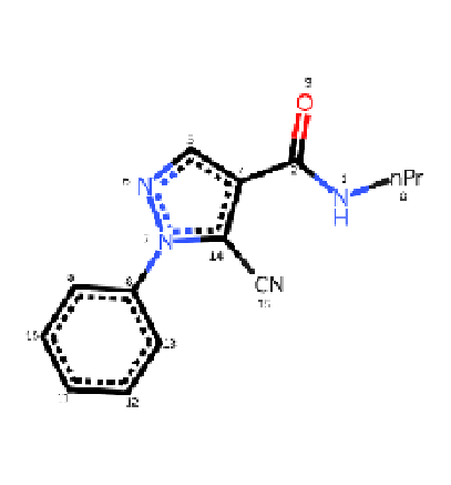 CCCNC(=O)c1cnn(-c2ccccc2)c1C#N